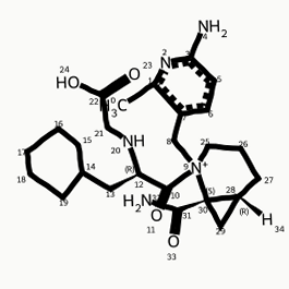 Cc1nc(N)ccc1C[N+]1(C(=O)[C@@H](CC2CCCCC2)NCC(=O)O)CCC[C@@H]2C[C@@]21C(N)=O